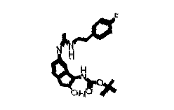 CC(=Nc1ccc2c(c1)C(NC(=O)OC(C)(C)C)[C@H](O)C2)NCCc1ccc(F)cc1